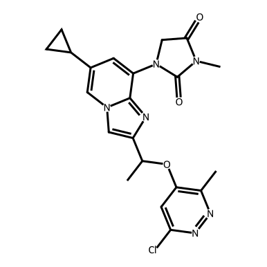 Cc1nnc(Cl)cc1OC(C)c1cn2cc(C3CC3)cc(N3CC(=O)N(C)C3=O)c2n1